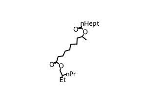 CCCCCCCC(=O)OC(C)CCCCCCCC(=O)OCC(CC)CCC